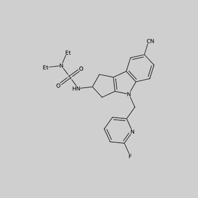 CCN(CC)S(=O)(=O)NC1Cc2c(n(Cc3cccc(F)n3)c3ccc(C#N)cc23)C1